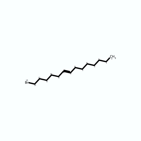 CCCCCCC/C=C/CCCCCBr